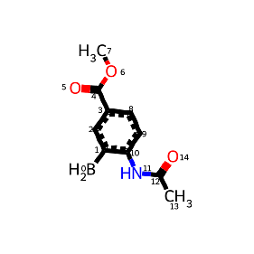 Bc1cc(C(=O)OC)ccc1NC(C)=O